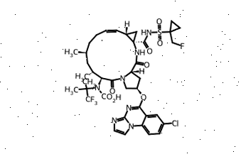 C[C@H]1CCC=C[C@@H]2C[C@@]2(C(=O)NS(=O)(=O)C2(CF)CC2)NC(=O)[C@@H]2C[C@@H](Oc3nc4nccn4c4ccc(Cl)cc34)CN2C(=O)[C@@H](N(C(=O)O)C(C)(C)C(F)(F)F)[C@H](C)C1